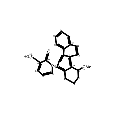 COC1CCCc2ccc3c(ccc4ccccc43)c21.O=c1occcc1S(=O)(=O)O